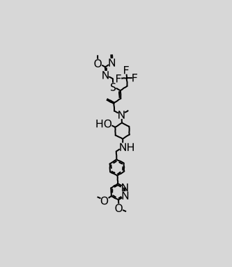 C=N/C(=N\CS/C(=C\C(=C)CN(C)C1CCC(NCc2ccc(-c3cc(OC)c(OC)nn3)cc2)CC1O)CC(F)(F)F)OC